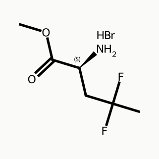 Br.COC(=O)[C@@H](N)CC(C)(F)F